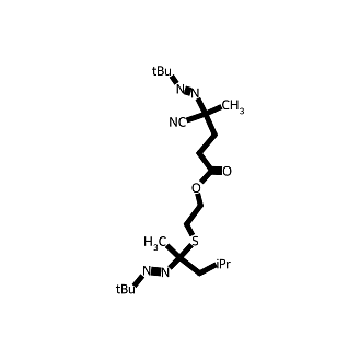 CC(C)CC(C)(/N=N/C(C)(C)C)SCCOC(=O)CCC(C)(C#N)/N=N/C(C)(C)C